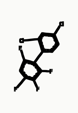 Fc1cc(F)c(-c2ccc(Cl)cc2Cl)c(F)c1F